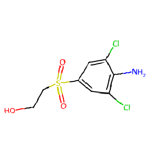 Nc1c(Cl)cc(S(=O)(=O)CCO)cc1Cl